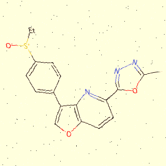 CC[S+]([O-])c1ccc(-c2coc3ccc(-c4nnc(C)o4)nc23)cc1